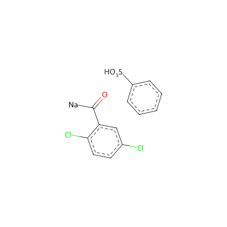 O=S(=O)(O)c1ccccc1.O=[C]([Na])c1cc(Cl)ccc1Cl